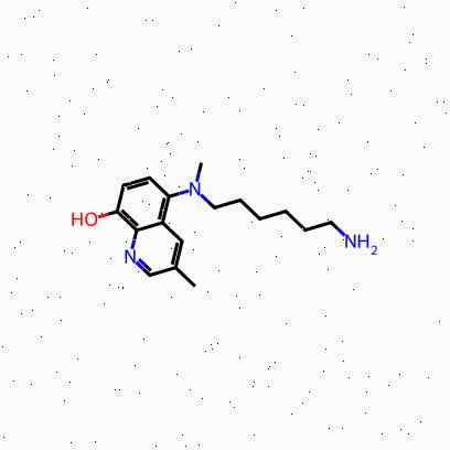 Cc1cnc2c(O)ccc(N(C)CCCCCCN)c2c1